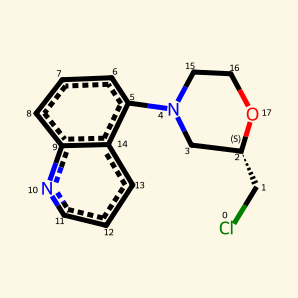 ClC[C@@H]1CN(c2cccc3ncccc23)CCO1